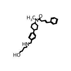 CN(C(=O)CC=Cc1ccccc1)C1CCC(c2ccc(CNCCCCO)cc2)CC1